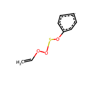 C=COOSOc1cc[c]cc1